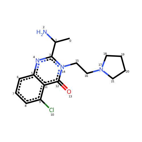 CC(N)c1nc2cccc(Cl)c2c(=O)n1CCN1CCCC1